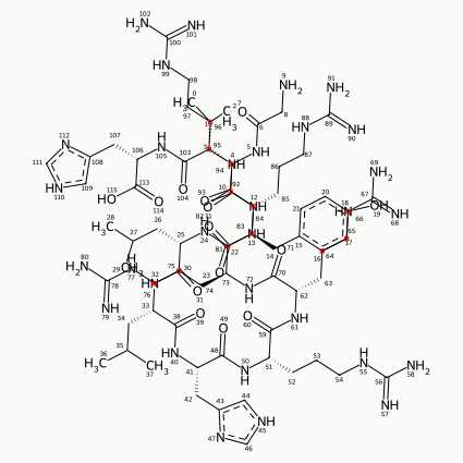 CC(C)C[C@H](NC(=O)CN)C(=O)N[C@@H](Cc1ccc(O)cc1)C(=O)N[C@@H](CC(C)C)C(=O)N[C@@H](CC(C)C)C(=O)N[C@@H](Cc1c[nH]cn1)C(=O)N[C@@H](CCCNC(=N)N)C(=O)N[C@@H](CCCNC(=N)N)C(=O)N[C@@H](CCCNC(=N)N)C(=O)N[C@@H](CCCNC(=N)N)C(=O)N[C@@H](CCCNC(=N)N)C(=O)N[C@@H](Cc1c[nH]cn1)C(=O)O